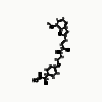 COc1cccc2cc(C=CC(=O)NCCOc3ccc(C(=O)NO)cc3)oc12